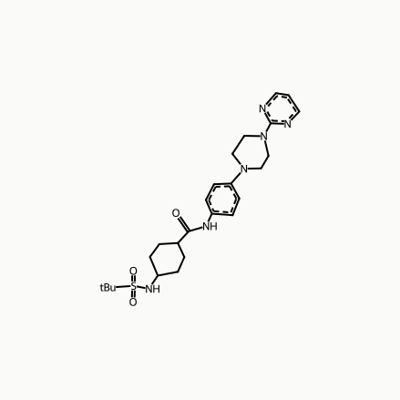 CC(C)(C)S(=O)(=O)NC1CCC(C(=O)Nc2ccc(N3CCN(c4ncccn4)CC3)cc2)CC1